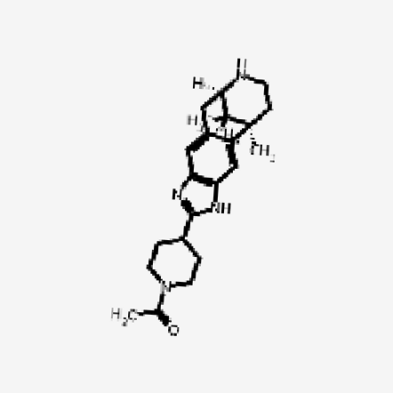 CC(=O)N1CCC(c2nc3cc4c(cc3[nH]2)[C@]2(C)CCN[C@H](C4)C2(C)C)CC1